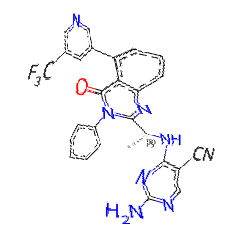 C[C@@H](Nc1nc(N)ncc1C#N)c1nc2cccc(-c3cncc(C(F)(F)F)c3)c2c(=O)n1-c1ccccc1